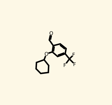 O=Cc1ccc(C(F)(F)F)cc1OC1CCCCC1